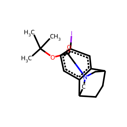 CC(C)(C)OC(=O)N1CC2CCC(C1)c1cc(I)ccc12